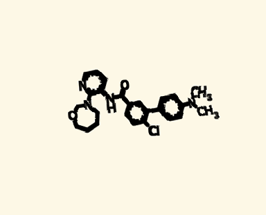 CN(C)c1ccc(-c2cc(C(=O)Nc3cccnc3N3CCCCOC3)ccc2Cl)cc1